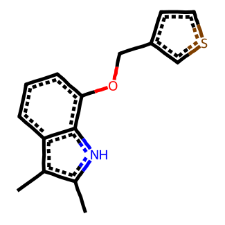 Cc1[nH]c2c(OCc3ccsc3)cccc2c1C